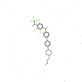 CCCCC1CCC(c2ccc(-c3ccc(C(C)c4cc(F)c(C(C)C(F)(F)F)c(F)c4)c(F)c3)cc2)CC1